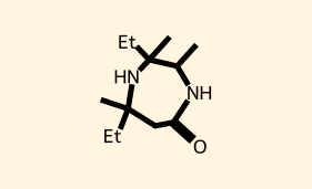 CCC1(C)CC(=O)NC(C)C(C)(CC)N1